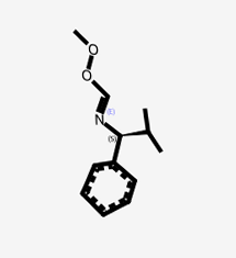 COO/C=N/[C@H](c1ccccc1)C(C)C